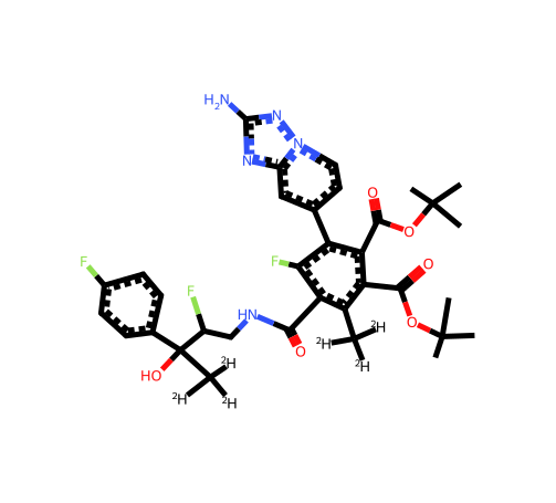 [2H]C([2H])([2H])c1c(C(=O)NCC(F)C(O)(c2ccc(F)cc2)C([2H])([2H])[2H])c(F)c(-c2ccn3nc(N)nc3c2)c(C(=O)OC(C)(C)C)c1C(=O)OC(C)(C)C